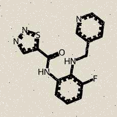 O=C(Nc1cccc(F)c1NCc1cccnc1)c1cnns1